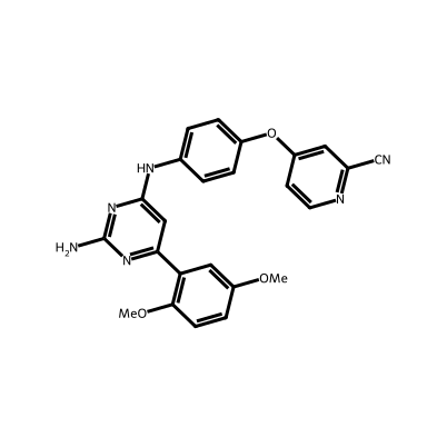 COc1ccc(OC)c(-c2cc(Nc3ccc(Oc4ccnc(C#N)c4)cc3)nc(N)n2)c1